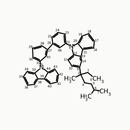 CCC(C)(CCC(C)C)c1ccc2c(c1)c1ccccc1n2-c1cccc(-c2cccc(-n3c4ccccc4c4ccccc43)c2)c1